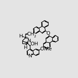 C=C[C@@H]1CN2CCC1C[C@H]2C(O)c1ccnc2ccc(OC)cc12.c1ccc2c(c1)cc(Oc1cc3ccccc3c3ccccc13)c1ccccc12